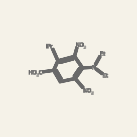 CCN(CC)c1c([N+](=O)[O-])cc(C(=O)O)c(C(C)C)c1[N+](=O)[O-]